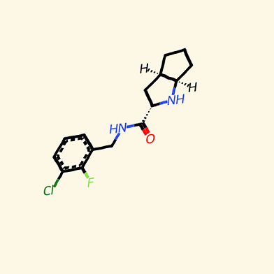 O=C(NCc1cccc(Cl)c1F)[C@@H]1C[C@H]2CCC[C@H]2N1